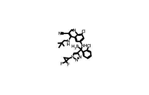 BC(Nc1cc(Cl)c2ncc(C#N)c(NCC(C)(C)C)c2c1)(c1cn(C2CC2(F)F)nn1)c1ccccc1Cl